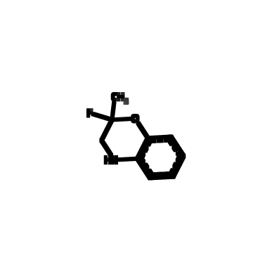 CC1(F)CNc2ccccc2O1